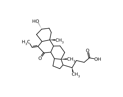 C/C=C1/C(=O)C2C(CC[C@@]3(C)C2CCC3[C@H](C)CCC(=O)O)[C@@]2(C)CC[C@@H](O)CC12